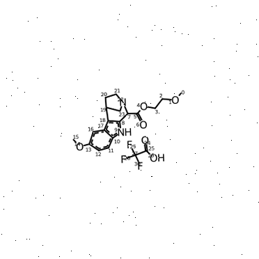 COCCOC(=O)C1c2[nH]c3ccc(OC)cc3c2C2CCN1C2.O=C(O)C(F)(F)F